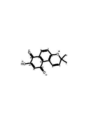 CC1(C)C=Cc2c(ccc3c2C(=O)C=C(O)C3=O)O1